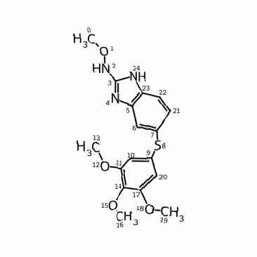 CONc1nc2cc(Sc3cc(OC)c(OC)c(OC)c3)ccc2[nH]1